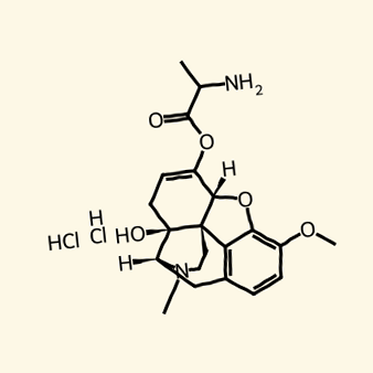 COc1ccc2c3c1O[C@H]1C(OC(=O)C(C)N)=CC[C@@]4(O)[C@@H](C2)N(C)CC[C@]314.Cl.Cl